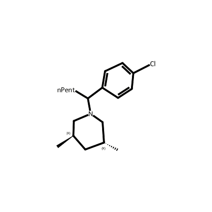 CCC[CH]CC(c1ccc(Cl)cc1)N1C[C@H](C)C[C@@H](C)C1